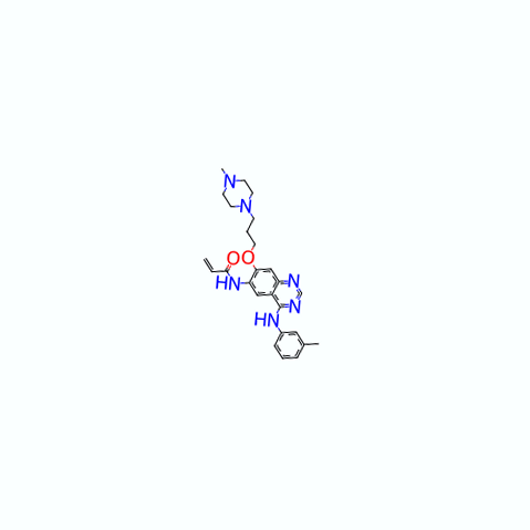 C=CC(=O)Nc1cc2c(Nc3cccc(C)c3)ncnc2cc1OCCCN1CCN(C)CC1